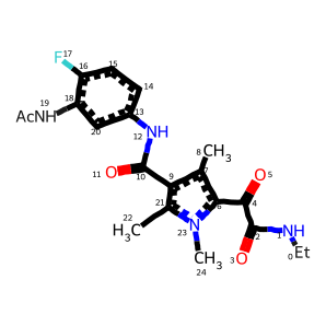 CCNC(=O)C(=O)c1c(C)c(C(=O)Nc2ccc(F)c(NC(C)=O)c2)c(C)n1C